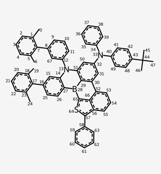 Cc1cccc(C)c1-c1cccc(N2c3cc(-c4c(C)cccc4C)ccc3B3c4c(cc(N(c5ccccc5)c5ccc(C(C)(C)C)cc5)cc42)-c2cccc4c(-c5ccccc5)sc3c24)c1